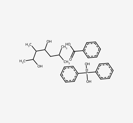 CC(C)CC(O)C(C)C(C)O.O=C(O)c1ccccc1.O[PH](O)(c1ccccc1)c1ccccc1